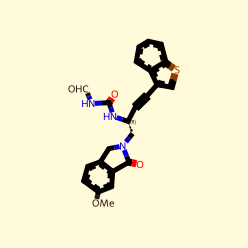 COc1ccc2c(c1)C(=O)N(C[C@@H](C#Cc1csc3ccccc13)NC(=O)NC=O)C2